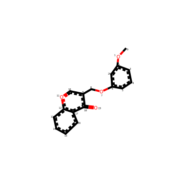 COc1cccc(OCc2coc3ccccc3c2=O)c1